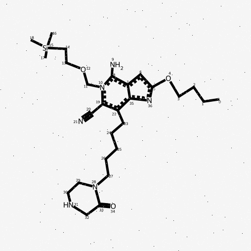 CCCCOc1cc2c(N)n(COCC[Si](C)(C)C)c(C#N)c(CCCCCN3CCNCC3=O)c-2n1